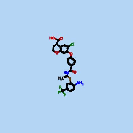 C=C(NC(=O)c1ccc(Oc2cc3c(cc2Cl)C(C(=O)O)CCO3)cc1)Sc1cc(C(F)(F)F)ccc1N